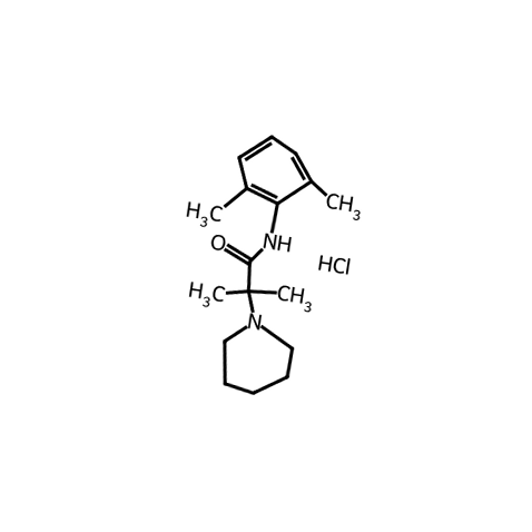 Cc1cccc(C)c1NC(=O)C(C)(C)N1CCCCC1.Cl